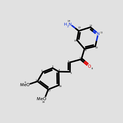 COc1ccc(/C=C/C(=O)c2cncc(N)c2)cc1OC